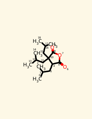 CC(C)CC1C(=O)OC(=O)C1(CC(C)C)CC(C)C